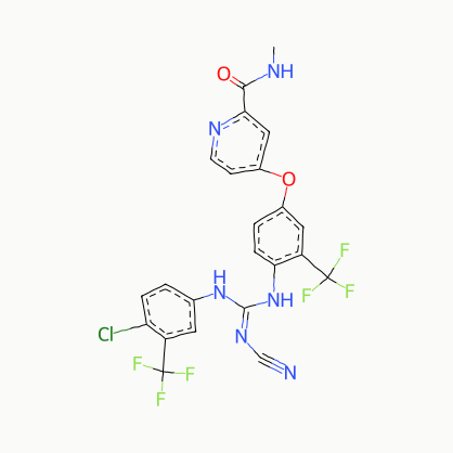 CNC(=O)c1cc(Oc2ccc(N/C(=N\C#N)Nc3ccc(Cl)c(C(F)(F)F)c3)c(C(F)(F)F)c2)ccn1